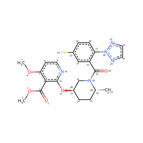 COC(=O)c1c(OC)ccnc1O[C@@H]1CC[C@@H](C)N(C(=O)c2cc(F)ccc2-n2nccn2)C1